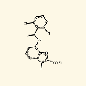 CCOC(=O)c1oc2c(NC(=O)c3c(Cl)cccc3Cl)cccc2c1C